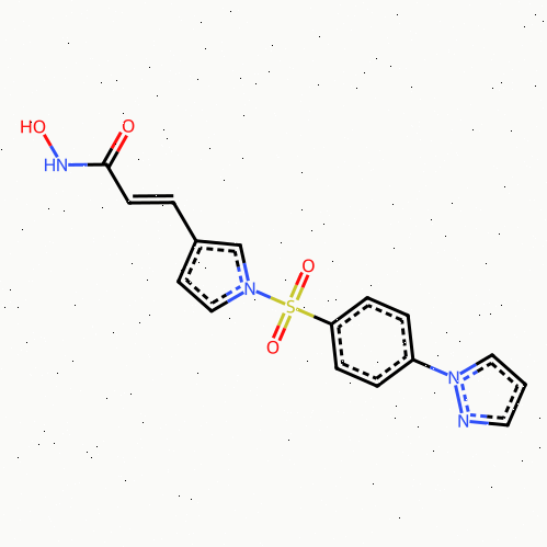 O=C(/C=C/c1ccn(S(=O)(=O)c2ccc(-n3cccn3)cc2)c1)NO